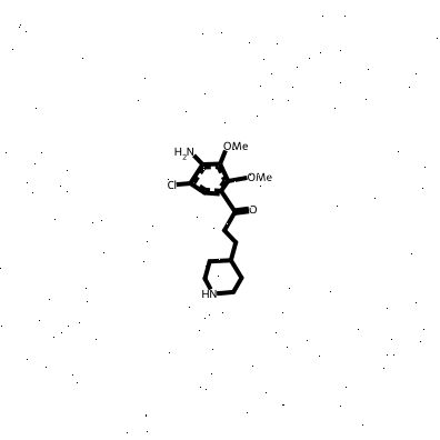 COc1c(C(=O)CCC2CCNCC2)cc(Cl)c(N)c1OC